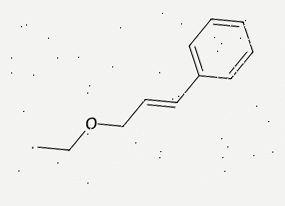 [CH2]COCC=Cc1ccccc1